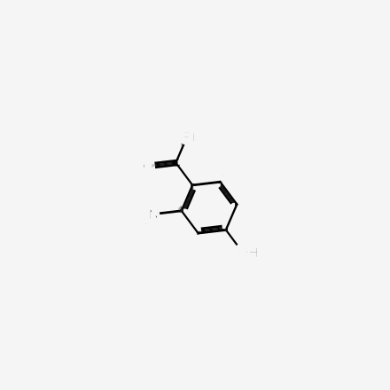 CCC(=O)c1ccc(O)cc1[N+](=O)[O-]